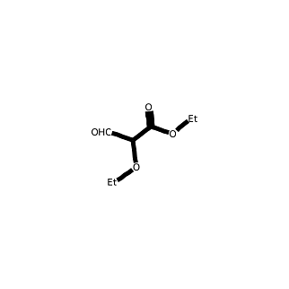 CCOC(=O)C(C=O)OCC